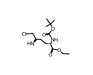 CCOC(=O)[C@@H](CCC(=N)CCl)NC(=O)OC(C)(C)C